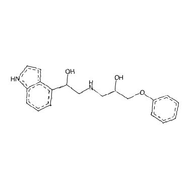 OC(CNCC(O)c1cccc2[nH]ccc12)COc1ccccc1